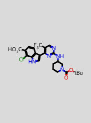 CC(C)(C)OC(=O)N1CCCC(Nc2ncc(C(F)(F)F)c(-c3c[nH]c4c(Cl)c(C(=O)O)ccc34)n2)C1